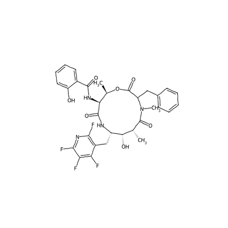 C[C@H]1OC(=O)C(Cc2ccccc2)N(C)C(=O)[C@H](C)[C@H](O)[C@H](Cc2c(F)nc(F)c(F)c2F)NC(=O)[C@H]1NC(=O)c1ccccc1O